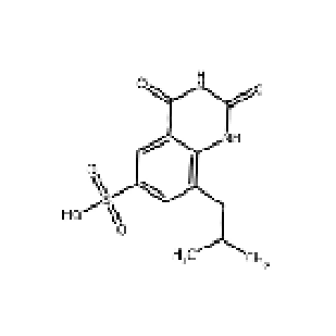 CC(C)Cc1cc(S(=O)(=O)O)cc2c(=O)[nH]c(=O)[nH]c12